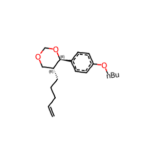 C=CCCC[C@@H]1COCO[C@H]1c1ccc(OCCCC)cc1